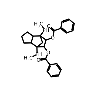 CPC12CC(PC)(C3CCCC31)C(OC(=O)c1ccccc1)C2OC(=O)c1ccccc1